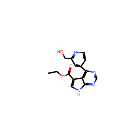 CCOC(=O)c1c[nH]c2ncnc(-c3ccnc(CO)c3)c12